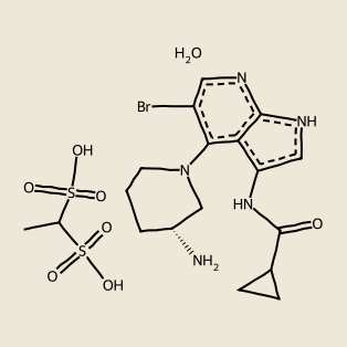 CC(S(=O)(=O)O)S(=O)(=O)O.N[C@@H]1CCCN(c2c(Br)cnc3[nH]cc(NC(=O)C4CC4)c23)C1.O